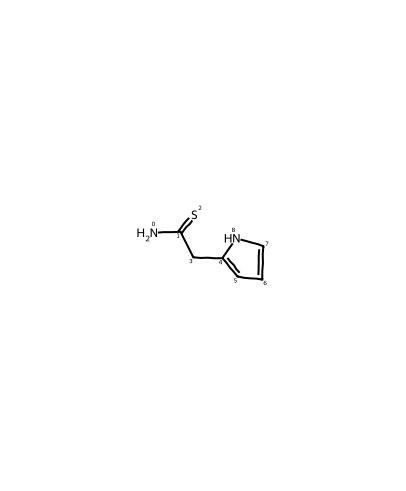 NC(=S)Cc1ccc[nH]1